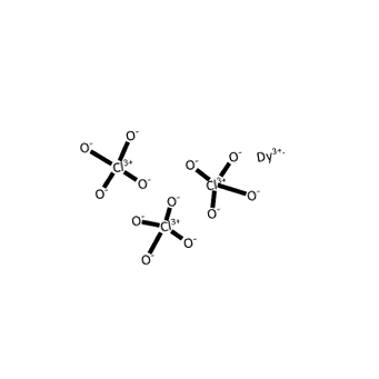 [Dy+3].[O-][Cl+3]([O-])([O-])[O-].[O-][Cl+3]([O-])([O-])[O-].[O-][Cl+3]([O-])([O-])[O-]